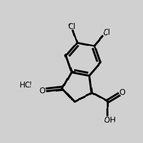 Cl.O=C1CC(C(=O)O)c2cc(Cl)c(Cl)cc21